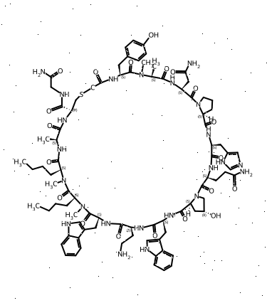 CCCC[C@H]1C(=O)N(C)[C@@H](CCCC)C(=O)N[C@@H](C)C(=O)N[C@H](C(=O)NCC(N)=O)CSCC(=O)N[C@@H](Cc2ccc(O)cc2)C(=O)N(C)[C@@H](C)C(=O)N[C@@H](CC(N)=O)C(=O)N2CCC[C@H]2C(=O)N[C@@H](Cc2cnc[nH]2)C(=O)N[C@@H](CCC(N)=O)C(=O)N2C[C@H](O)C[C@H]2C(=O)N[C@@H](Cc2c[nH]c3ccccc23)C(=O)N[C@@H](CCN)C(=O)N[C@@H](Cc2c[nH]c3ccccc23)C(=O)N1C